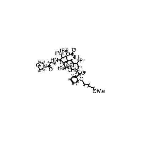 COCCCCOc1ccccc1C(=O)NCC(CC(NC(=O)OC(C)(C)C)C(CC(C(=O)NCCC(=O)N1CCOCC1)C(C)C)O[Si](C)(C)C(C)(C)C)C(C)C